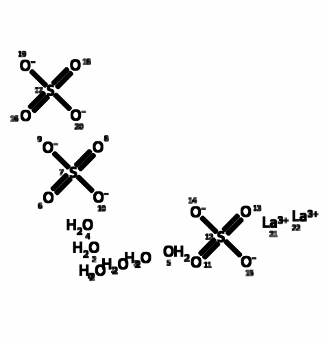 O.O.O.O.O.O.O=S(=O)([O-])[O-].O=S(=O)([O-])[O-].O=S(=O)([O-])[O-].[La+3].[La+3]